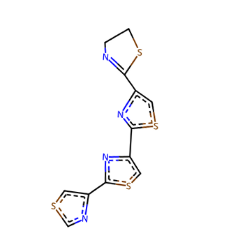 c1nc(-c2nc(-c3nc(C4=NCCS4)cs3)cs2)cs1